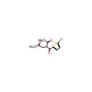 COC(=O)CC(C(=O)OC)C(=O)c1ccc(Cl)s1